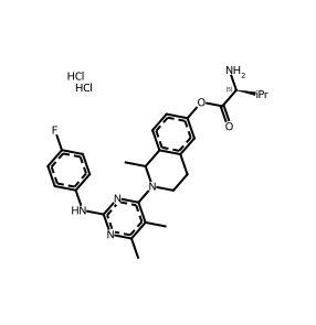 Cc1nc(Nc2ccc(F)cc2)nc(N2CCc3cc(OC(=O)[C@@H](N)C(C)C)ccc3C2C)c1C.Cl.Cl